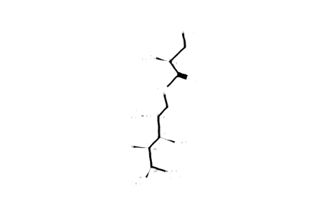 N[C@@H](CC(=O)O)C(=O)OC[C@@H](O)[C@@H](O)[C@H](O)[C@@H](N)C=O